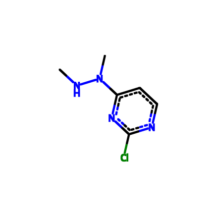 CNN(C)c1ccnc(Cl)n1